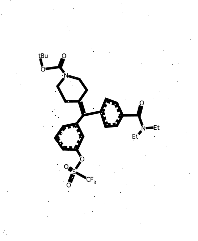 CCN(CC)C(=O)c1ccc(C(=C2CCN(C(=O)OC(C)(C)C)CC2)c2cccc(OS(=O)(=O)C(F)(F)F)c2)cc1